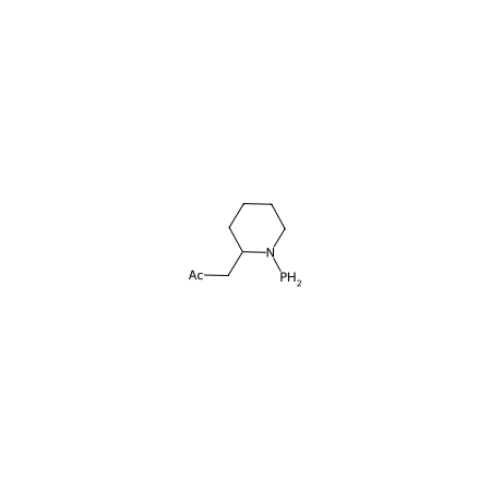 CC(=O)CC1CCCCN1P